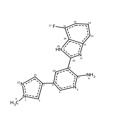 Cn1cc(-c2cnc(N)c(-c3nc4cccc(F)c4[nH]3)c2)cn1